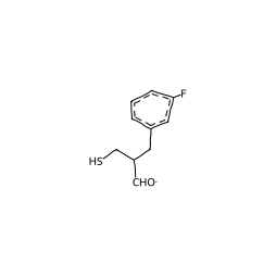 O=[C]C(CS)Cc1cccc(F)c1